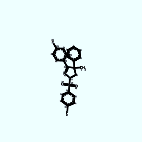 CC1(c2ccccc2)CN(S(=O)(=O)c2ccc(F)cc2)N=C1c1ccc(F)cc1